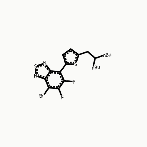 CCCCC(CCCC)Cc1ccc(-c2c(F)c(F)c(Br)c3nsnc23)s1